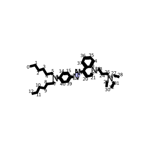 CCCCCCN(CCCCCC)c1ccc(/N=N/c2cc[n+](CCC[N+](CC)(CC)CC)c3ccccc23)cc1